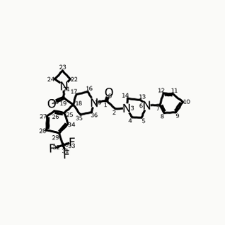 O=C(CN1CCN(c2ccccc2)CC1)N1CCC(C(=O)N2CCC2)(c2cccc(C(F)(F)F)c2)CC1